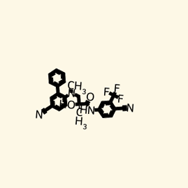 CN(C[C@](C)(O)C(=O)Nc1ccc(C#N)c(C(F)(F)F)c1)c1ccc(C#N)cc1-c1ccccc1